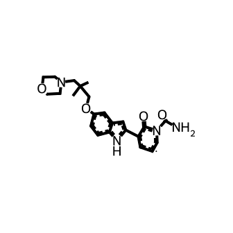 CC(C)(COc1ccc2[nH]c(-c3c[c]cn(C(N)=O)c3=O)cc2c1)CN1CCOCC1